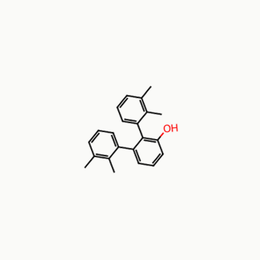 Cc1cccc(-c2cccc(O)c2-c2cccc(C)c2C)c1C